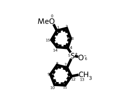 COc1ccc([S+]([O-])c2ccccc2C)cc1